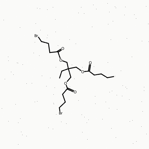 CCCCC(=O)OCC(CC)(COC(=O)CCCBr)COC(=O)CCCBr